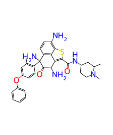 Cc1cc(Oc2ccccc2)ccc1C1(N)C(=O)C(N)c2c(C(=O)NC3CCN(C)C(C)C3)sc3c(N)ccc1c23